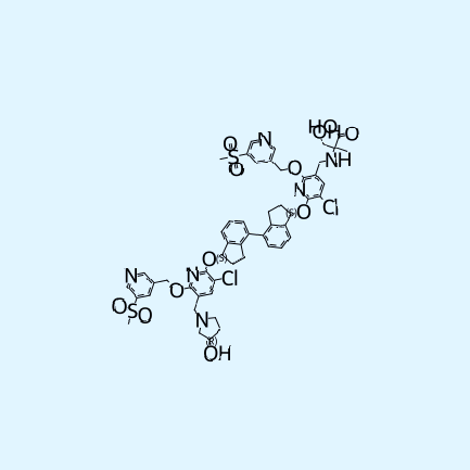 CC(CO)(NCc1cc(Cl)c(O[C@H]2CCc3c(-c4cccc5c4CC[C@@H]5Oc4nc(OCc5cncc(S(C)(=O)=O)c5)c(CN5CC[C@@H](O)C5)cc4Cl)cccc32)nc1OCc1cncc(S(C)(=O)=O)c1)C(=O)O